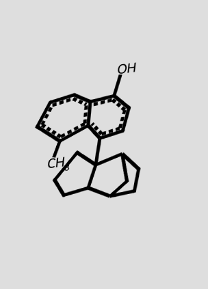 Cc1cccc2c(O)ccc(C34CCCC3C3CCC4C3)c12